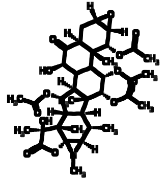 CC(=O)O[C@H]1[C@@H]2[C@H]([C@H](C)[C@H]3N(C)[C@]34OC(=O)[C@@](C)(O)[C@]24C)[C@]2(C)[C@@H]1C1C([C@H](OC(C)=O)[C@@H]2OC(C)=O)[C@]2(C)[C@H](C[C@@H]3O[C@@H]3[C@@H]2OC(C)=O)C(=O)[C@@H]1O